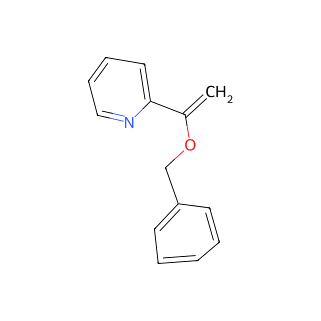 C=C(OCc1ccccc1)c1ccccn1